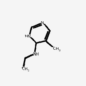 CCNC1NC=NC=C1C